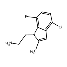 Cc1cc2c(Cl)ccc(F)c2n1CCN